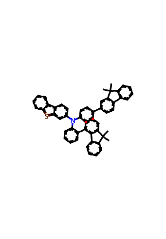 CC1(C)c2ccccc2-c2ccc(-c3ccc(N(c4ccc5c(c4)sc4ccccc45)c4ccccc4-c4cccc5c4-c4ccccc4C5(C)C)cc3)cc21